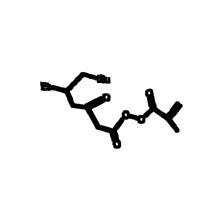 C=C(C)C(=O)OOC(=O)CC(=O)CC(CC)CC(C)(C)C